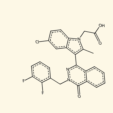 Cc1c(-c2nn(Cc3cccc(F)c3F)c(=O)c3ccccc23)c2cc(Cl)ccc2n1CC(=O)O